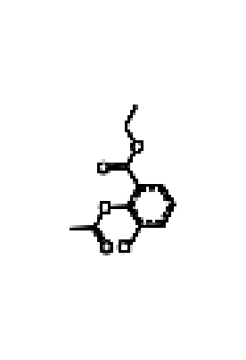 CCOC(=O)c1cccc(Cl)c1OC(C)=O